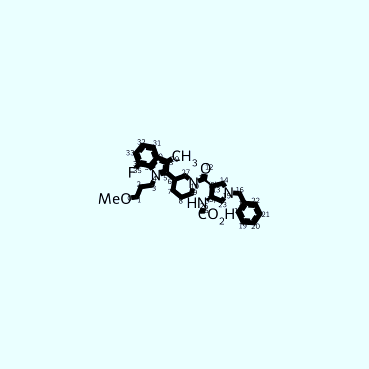 COCCCn1c(C2CCCN(C(=O)[C@H]3CN(Cc4ccccc4)C[C@H]3NC(=O)O)C2)c(C)c2cccc(F)c21